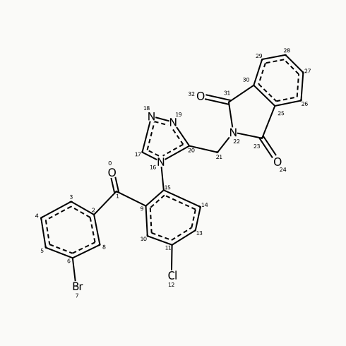 O=C(c1cccc(Br)c1)c1cc(Cl)ccc1-n1cnnc1CN1C(=O)c2ccccc2C1=O